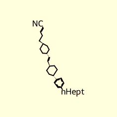 CCCCCCCc1ccc([C@H]2CC[C@H](C=C[C@H]3CC[C@H](CCC=CC#N)CC3)CC2)cc1